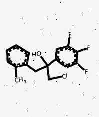 Cc1ccccc1CC(O)(CCl)c1cc(F)c(F)c(F)c1